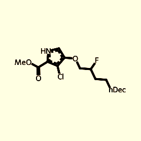 CCCCCCCCCCCCC(F)COc1c[nH]c(C(=O)OC)c1Cl